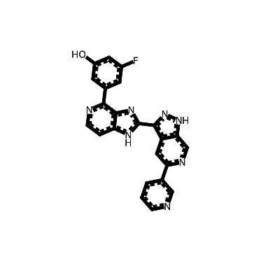 Oc1cc(F)cc(-c2nccc3[nH]c(-c4n[nH]c5cnc(-c6cccnc6)cc45)nc23)c1